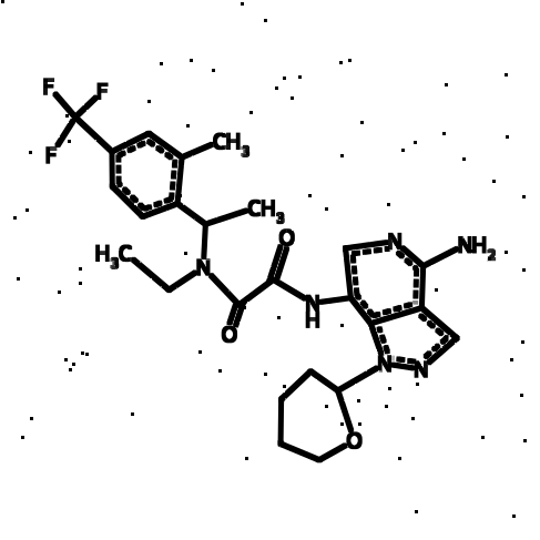 CCN(C(=O)C(=O)Nc1cnc(N)c2cnn(C3CCCCO3)c12)C(C)c1ccc(C(F)(F)F)cc1C